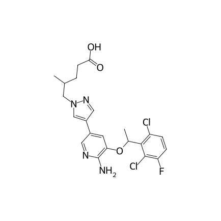 CC(CCC(=O)O)Cn1cc(-c2cnc(N)c(OC(C)c3c(Cl)ccc(F)c3Cl)c2)cn1